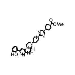 COC(=O)[C@H]1CC[C@@H](c2cnc(N3CCC(N4CCN5c6cc(-c7ccccc7O)nnc6NC[C@H]5C4)CC3)nc2)CC1